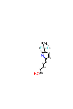 CC(F)(F)c1ccc(CCCCCO)nc1